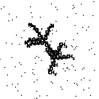 CCOCNCCC(CNCOCC)C(CNCOCC)C(CNCOCC)COCCCCOCC(OCCOCCC#N)C(OCCOCCC#N)C(COCCOCCC#N)OCCOCCC#N